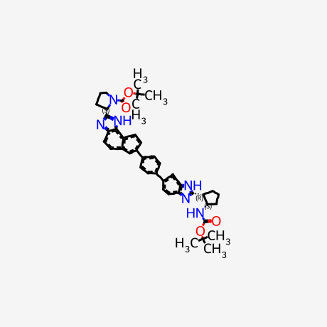 CC(C)(C)OC(=O)N[C@H]1CCC[C@H]1c1nc2ccc(-c3ccc(-c4ccc5c(ccc6nc([C@@H]7CCCN7C(=O)OC(C)(C)C)[nH]c65)c4)cc3)cc2[nH]1